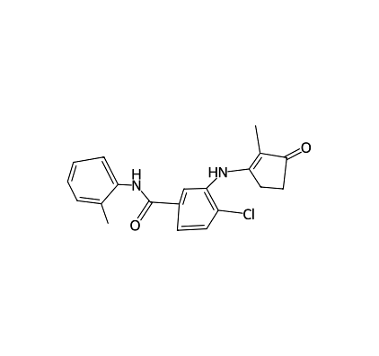 CC1=C(Nc2cc(C(=O)Nc3ccccc3C)ccc2Cl)CCC1=O